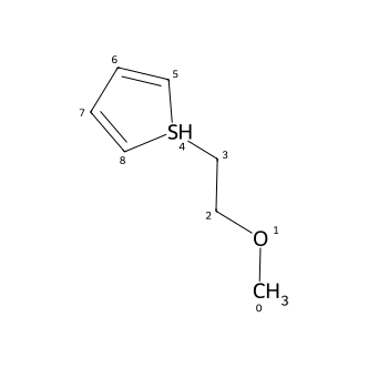 COCC[SH]1C=CC=C1